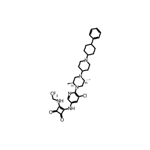 C[C@@H]1CN(c2ncc(Nc3c(NCC(F)(F)F)c(=O)c3=O)cc2Cl)[C@@H](C)CN1C1CCN(C2CCC(c3ccccc3)CC2)CC1